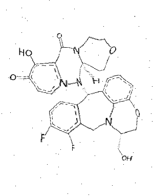 O=C1c2c(O)c(=O)ccn2N([C@H]2c3ccc(F)c(F)c3CN3c4c(cccc42)OC[C@@H]3CO)[C@@H]2COCCN12